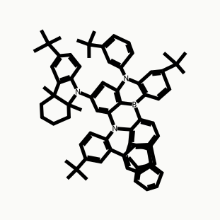 CC(C)(C)c1cccc(N2c3cc(C(C)(C)C)ccc3B3c4ccc5c(sc6ccccc65)c4N(c4ccc(C(C)(C)C)cc4-c4ccccc4)c4cc(N5c6ccc(C(C)(C)C)cc6C6(C)CCCCC56C)cc2c43)c1